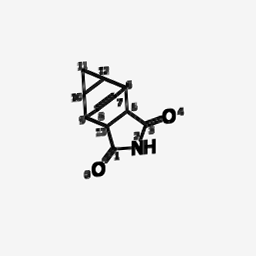 O=C1NC(=O)C2C3C=CC(C4CC34)C12